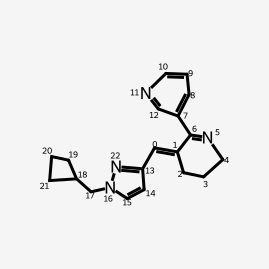 C(=C1/CCCN=C1c1cccnc1)/c1ccn(CC2CCC2)n1